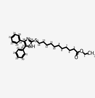 CCOC(=O)CCCCCCCCCCSc1nc(-c2ccccc2)c(-c2ccccc2)[nH]1